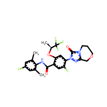 Cc1cc(F)cc(C)c1NC(=O)c1cc(F)c(-n2nc3n(c2=O)CCCOC3)cc1O[C@@H](C)C(F)(F)F